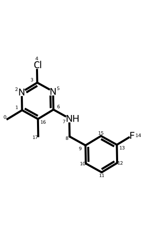 Cc1nc(Cl)nc(NCc2cccc(F)c2)c1C